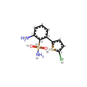 Nc1cccc(-c2ccc(Br)s2)c1S(N)(=O)=O